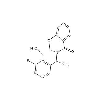 CCc1c(C(C)N2COc3ccccc3C2=O)ccnc1F